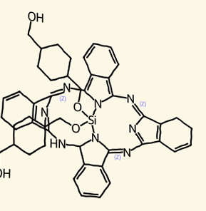 OCC1CCC(CO[Si]2(OCC3CCC(CO)CC3)N3/C4=N\C5=NC(=N\c6c7ccccc7c(n62)/N=C2\N=C(NC3c3ccccc34)C3=C2C=CCC3)/C2=C5C=CCC2)CC1